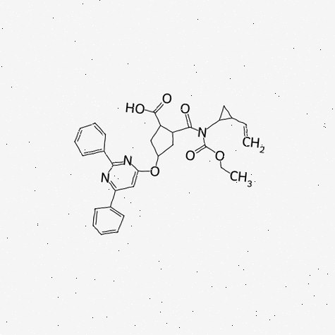 C=CC1CC1N(C(=O)OCC)C(=O)C1CC(Oc2cc(-c3ccccc3)nc(-c3ccccc3)n2)CC1C(=O)O